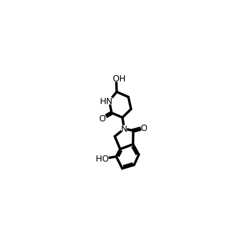 O=C1NC(O)CCC1N1Cc2c(O)cccc2C1=O